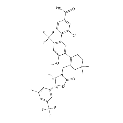 COc1cc(C(F)(F)F)c(-c2ccc(C(=O)O)cc2Cl)cc1C1=C(CN2C(=O)O[C@H](c3cc(C)cc(C(F)(F)F)c3)[C@@H]2C)CC(C)(C)CC1